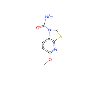 COc1ccc2c(n1)S[CH]N2C(N)=O